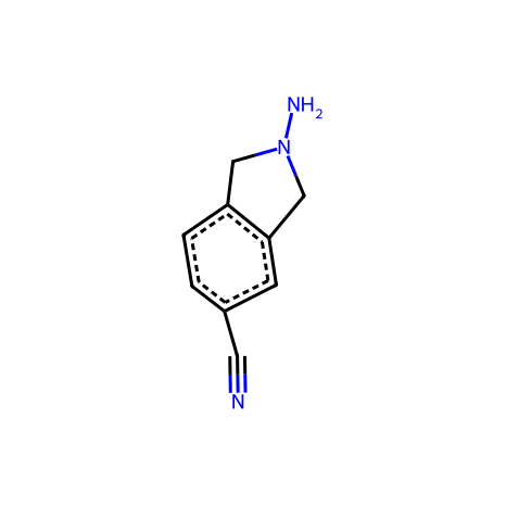 N#Cc1ccc2c(c1)CN(N)C2